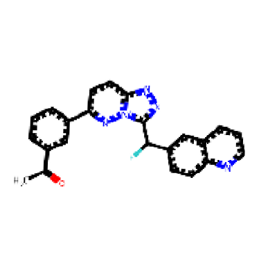 CC(=O)c1cccc(-c2ccc3nnc(C(F)c4ccc5ncccc5c4)n3n2)c1